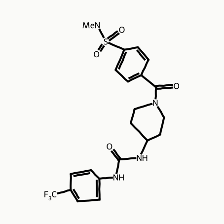 CNS(=O)(=O)c1ccc(C(=O)N2CCC(NC(=O)Nc3ccc(C(F)(F)F)cc3)CC2)cc1